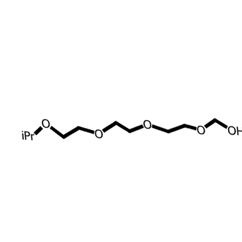 CC(C)OCCOCCOCCOCO